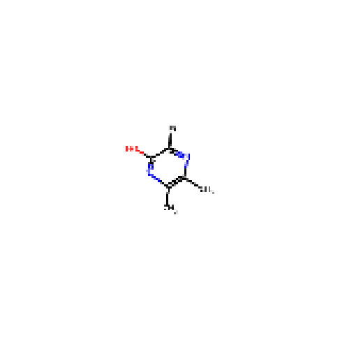 CCc1nc(C)c(C)nc1O